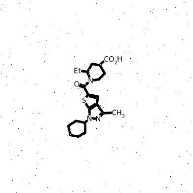 CCC1CC(C(=O)O)CCN1C(=O)c1cc2c(C)nn(C3CCCCC3)c2s1